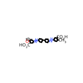 Cc1ccc(/N=N/c2ccc(-c3ccc(/N=N/c4ccc(OC(C)(C)C)c(C(=O)O)c4)cc3)cc2)cc1C(=O)O